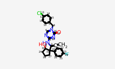 C=C=C(Nc1ncn(Cc2ccc(Cl)cc2)c(=O)n1)C1(c2ccc(F)cc2)CCCC1O